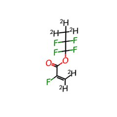 [2H]C([2H])=C(F)C(=O)OC(F)(F)C(F)(F)C([2H])([2H])[2H]